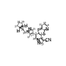 Cc1c(-c2cc(Sc3ncccc3F)c3c(C#N)cnn3c2)cnn1CC1[C@H]2CCC[C@@H]12